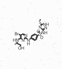 CSc1nc(NS(=O)(=O)c2ccc(Nc3ncc(Br)c(N[C@H](C)CO)n3)cc2)n[nH]1